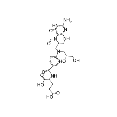 Nc1nc2c(c(=O)[nH]1)N(C=O)C(CN(C[C@@H](O)CO)c1ccc(C(=O)NC(CCC(=O)O)C(=O)O)cc1)CN2